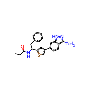 CCC(=O)NC(Cc1ccccc1)c1cc(-c2ccc3c(N)n[nH]c3c2)cs1